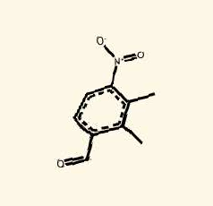 Cc1c([C]=O)ccc([N+](=O)[O-])c1C